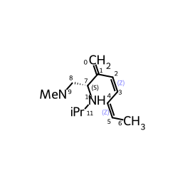 C=C(/C=C\C=C/C)[C@@H](CNC)NC(C)C